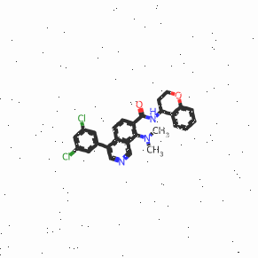 CN(C)c1c(C(=O)NC2CCOc3ccccc32)ccc2c(-c3cc(Cl)cc(Cl)c3)cncc12